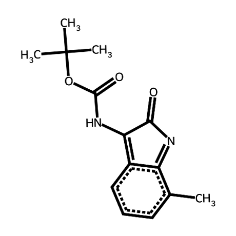 Cc1cccc2c1=NC(=O)C=2NC(=O)OC(C)(C)C